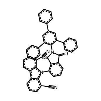 N#Cc1cccc2c3cccc(C#N)c3n(-c3cccc4c3C(=O)N(c3c(-c5ccccc5)cc(-c5ccccc5)cc3-c3ccccc3)C4=O)c12